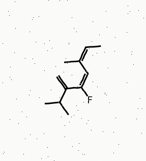 C=C(/C(F)=C\C(C)=C/C)C(C)C